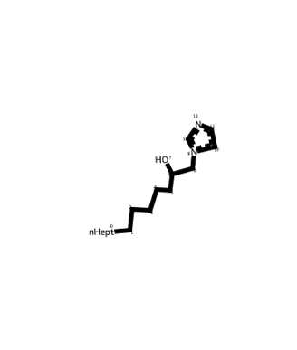 CCCCCCCCCCCCC(O)Cn1ccnc1